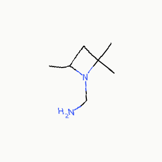 CC1CC(C)(C)N1CN